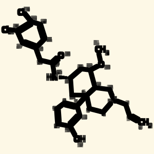 C=CCN1CCC2(c3cccc(O)c3)C[C@H](NC(=O)Cc3ccc(Cl)c(Cl)c3)CC(OC)C2C1